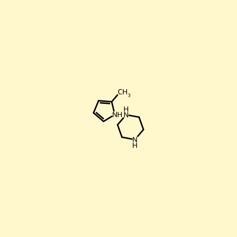 C1CNCCN1.Cc1ccc[nH]1